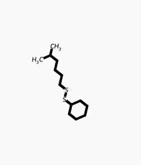 CC(C)CCCCSSC1CCCCC1